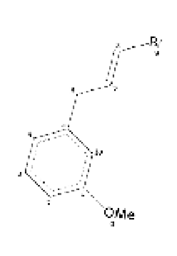 COc1cccc(CC=CBr)c1